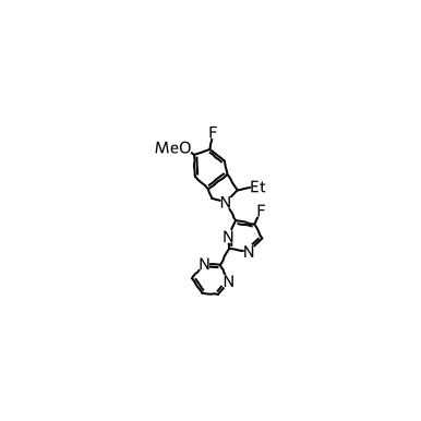 CCC1c2cc(F)c(OC)cc2CN1c1nc(-c2ncccn2)ncc1F